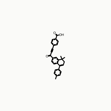 Cc1ccc(C2=CCC(C)(C)c3cc(C(=O)C#Cc4ccc(C(=O)O)cc4)ccc32)cc1